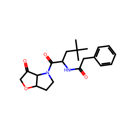 CC(C)(C)CC(NC(=O)Cc1ccccc1)C(=O)N1CCC2OCC(=O)C21